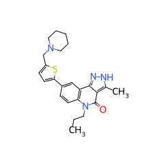 CCCn1c(=O)c2c(C)[nH]nc2c2cc(-c3ccc(CN4CCCCC4)s3)ccc21